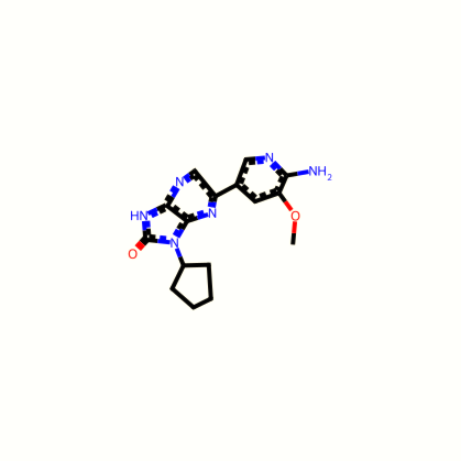 COc1cc(-c2cnc3[nH]c(=O)n(C4CCCC4)c3n2)cnc1N